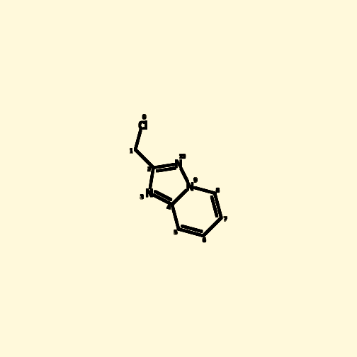 ClCc1nc2ccccn2n1